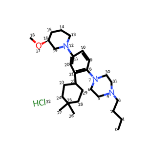 CCCCN1CCN(c2ccc(N3CCC[C@H](OC)C3)cc2C2CCC(C)(C)CC2)CC1.Cl